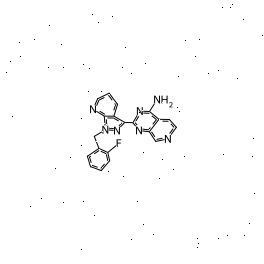 Nc1nc(-c2nn(Cc3ccccc3F)c3ncccc23)nc2cnccc12